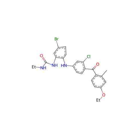 CCNC(=O)Nc1cc(Br)ccc1Nc1ccc(C(=O)c2ccc(OCC)cc2C)c(Cl)c1